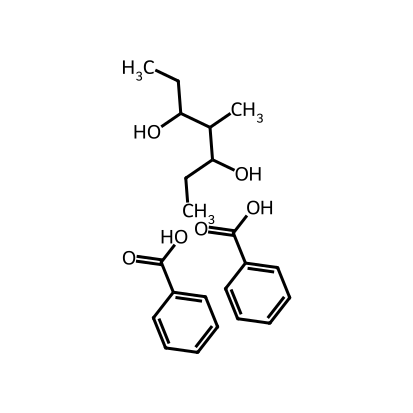 CCC(O)C(C)C(O)CC.O=C(O)c1ccccc1.O=C(O)c1ccccc1